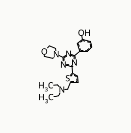 CCN(CC)Cc1ccc(-c2nc(-c3cccc(O)c3)nc(N3CCOCC3)n2)s1